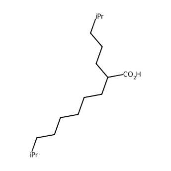 CC(C)CCCCCCC(CCCC(C)C)C(=O)O